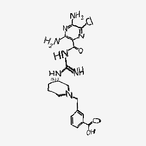 N=C(NC(=O)c1nc(Cl)c(N)nc1N)N[C@H]1CCCN(Cc2cccc(C(=O)O)c2)C1